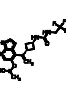 C=C(c1c(OB(C)O)cnc2[nH]ccc12)[C@H]1C[C@@H](NC(=O)NCC(F)(F)F)C1